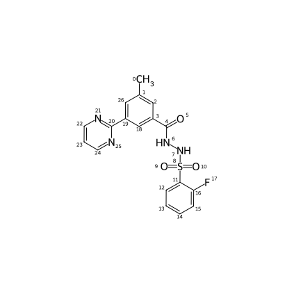 Cc1cc(C(=O)NNS(=O)(=O)c2ccccc2F)cc(-c2ncccn2)c1